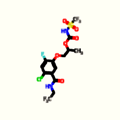 CC(COc1cc(C(=O)NCC(F)(F)F)c(Cl)cc1F)OC(=O)NS(=O)(=O)C(F)(F)F